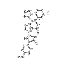 CNc1ccc(-c2[nH]c([C@@H]3CCc4nc(-c5cc(Cl)ccc5-n5cnnn5)cc(=O)n43)nc2Cl)cn1